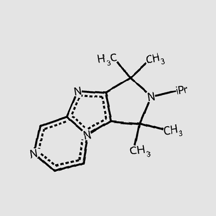 CC(C)N1C(C)(C)c2nc3cnccn3c2C1(C)C